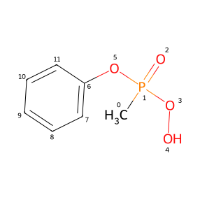 CP(=O)(OO)Oc1ccccc1